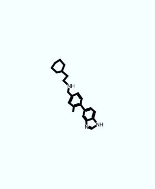 Cc1cc(CNCCC2CCCCC2)ccc1-c1ccc2[nH]cnc2c1